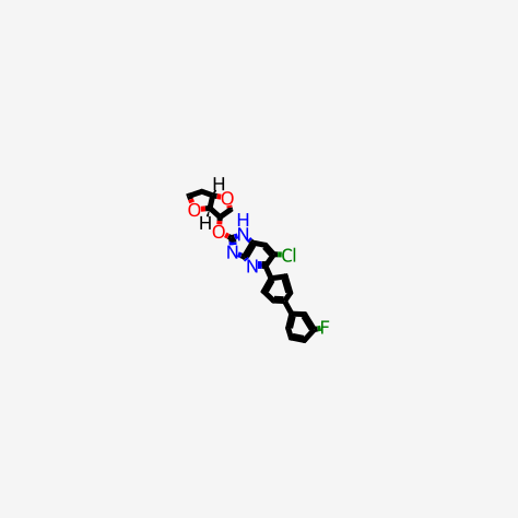 Fc1cccc(-c2ccc(-c3nc4nc(OC5CO[C@@H]6CCO[C@H]56)[nH]c4cc3Cl)cc2)c1